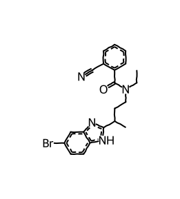 CCN(CCC(C)c1nc2cc(Br)ccc2[nH]1)C(=O)c1ccccc1C#N